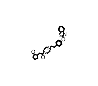 O=C1CCCC1CC(=O)N1CCN(CCc2ccc(OC3=NC4C=CC=CC4S3)cc2)CC1